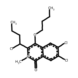 CCCCOc1c(C(Cl)CCC)n(C)c(=O)c2cc(Cl)c(Cl)cc12